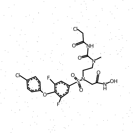 CN(CCN(CC(=O)NO)S(=O)(=O)c1cc(F)c(Oc2ccc(Cl)cc2)c(F)c1)C(=O)NC(=O)CCl